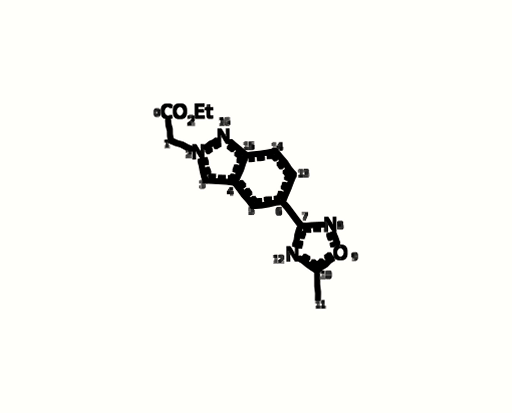 CCOC(=O)Cn1cc2cc(-c3noc(C)n3)ccc2n1